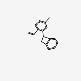 C=Cc1cnc(C)cc1C1Cc2ccccc21